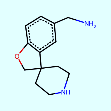 NCc1ccc2c(c1)C1(CCNCC1)CO2